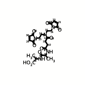 C[C@H](NC(=O)[C@H](C)NC(=O)CCC(=O)N(CCN1C(=O)C=CC1=O)CCN1C(=O)C=CC1=O)C(=O)O